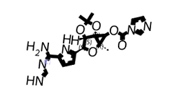 CC1(C)O[C@H]2[C@H](c3ccc(/C(N)=N\C=N)[nH]3)O[C@]3(C)C(OC(=O)n4ccnc4)[C@]23O1